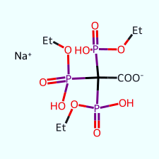 CCOP(=O)(O)C(C(=O)[O-])(P(=O)(O)OCC)P(=O)(O)OCC.[Na+]